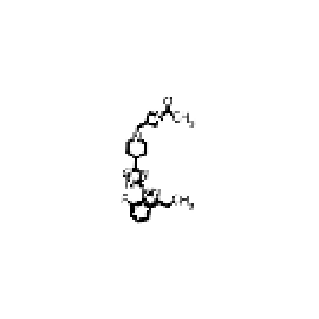 CCc1nn(-c2noc(C3CCN(CC4CN(C(C)=O)C4)CC3)n2)c2c(F)cccc12